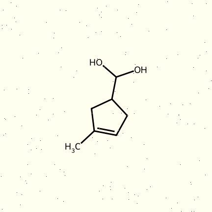 CC1=CCC(C(O)O)C1